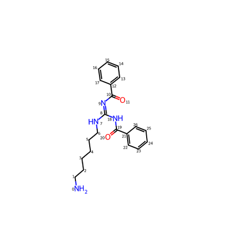 NCCCCCCN/C(=N/C(=O)c1ccccc1)NC(=O)c1ccccc1